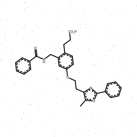 Cc1oc(-c2ccccc2)nc1CCOc1ccc(CCC(=O)O)c(CNC(=O)c2ccccc2)c1